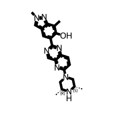 Cc1c(O)c(-c2ncc3nc(N4C[C@@H](C)N[C@@H](C)C4)ccc3n2)cc2cn(C)nc12